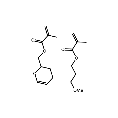 C=C(C)C(=O)OCC1CCC=CO1.C=C(C)C(=O)OCCCOC